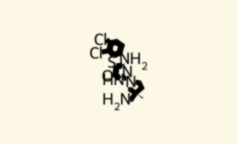 C[C@@]1(CN)CCN(c2nc(N)c(Sc3cccc(Cl)c3Cl)c(=O)[nH]2)C1